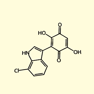 O=C1C=C(O)C(=O)C(c2c[nH]c3c(Cl)cccc23)=C1O